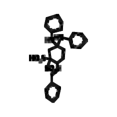 O=S(=O)(O)C1(S(=O)(=O)O)CC(Nc2ccccc2)(Nc2ccccc2)C=CC1C=Cc1ccccc1